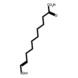 CCCCCCCCC=CCCCCCCCC(=O)C(=O)O